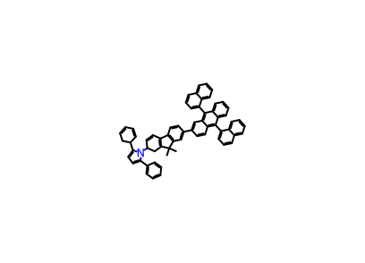 CC1(C)C2=C(C=CC(n3c(-c4ccccc4)ccc3C3C=CC=CC3)C2)c2ccc(-c3ccc4c(-c5cccc6ccccc56)c5ccccc5c(-c5cccc6ccccc56)c4c3)cc21